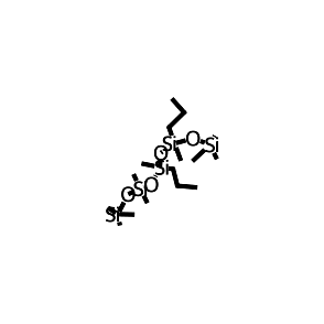 CCC[Si](C)(O[Si](C)(C)C)O[Si](C)(CCC)O[Si](C)(C)O[Si](C)(C)C